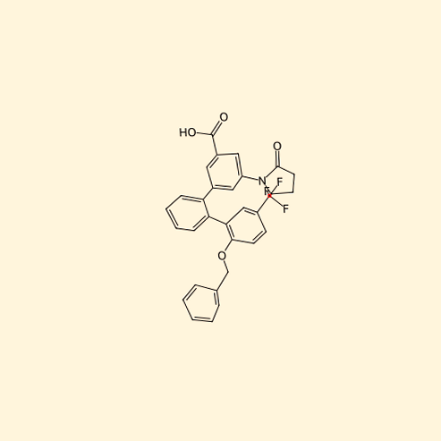 O=C(O)c1cc(-c2ccccc2-c2cc(C(F)(F)F)ccc2OCc2ccccc2)cc(N2CCCC2=O)c1